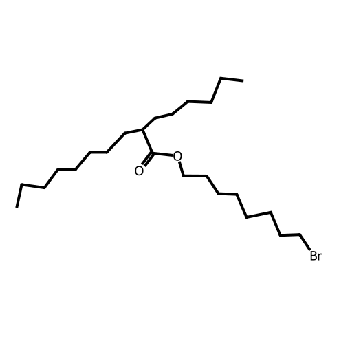 CCCCCCCCC(CCCCCC)C(=O)OCCCCCCCCBr